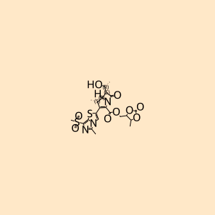 Cc1nc(S(C)(=O)=O)c2sc(C3=C(C(=O)OCC4OC(=O)OC4C)N4C(=O)[C@H]([C@@H](C)O)[C@H]4[C@H]3C)cn12